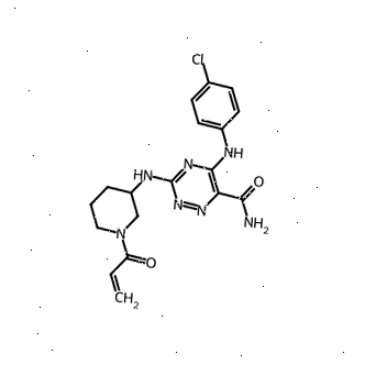 C=CC(=O)N1CCCC(Nc2nnc(C(N)=O)c(Nc3ccc(Cl)cc3)n2)C1